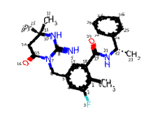 Cc1c(F)cc(CN2C(=N)N[C@](C)(C(C)C)CC2=O)cc1C(=O)N[C@@H](C)c1ccccc1